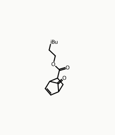 CCC(C)CCOC(=O)C1CC2C=CC1C2=O